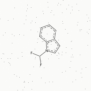 FC(F)n1ccc2cc[c]cc21